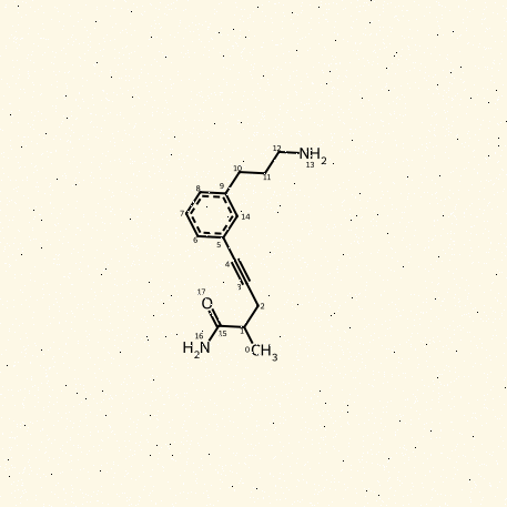 CC(CC#Cc1cccc(CCCN)c1)C(N)=O